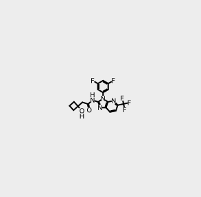 O=C(CC1(O)CCC1)Nc1nc2ccc(C(F)(F)F)nc2n1-c1cc(F)cc(F)c1